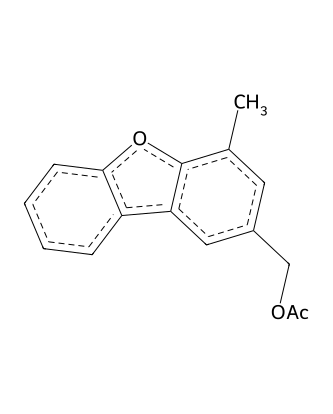 CC(=O)OCc1cc(C)c2oc3ccccc3c2c1